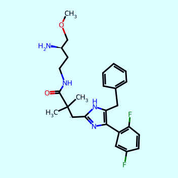 COC[C@H](N)CCNC(=O)C(C)(C)[CH]c1nc(-c2cc(F)ccc2F)c(Cc2ccccc2)[nH]1